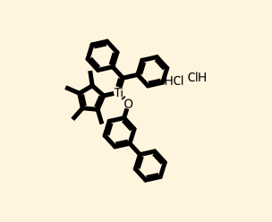 CC1=C(C)C(C)[C]([Ti]([O]c2cccc(-c3ccccc3)c2)=[C](c2ccccc2)c2ccccc2)=C1C.Cl.Cl